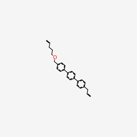 C=CCCCOCc1ccc(-c2ccc(-c3ccc(CC=C)cc3)cc2)cc1